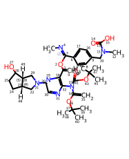 C=C(O/C(=N\C)c1ccc(CN(C)C(=O)O)cc1)c1nc(N2C[C@@H]3CCC(O)[C@@H]3C2)cnc1N(C(=C)OC(C)(C)C)C(=O)OC(C)(C)C